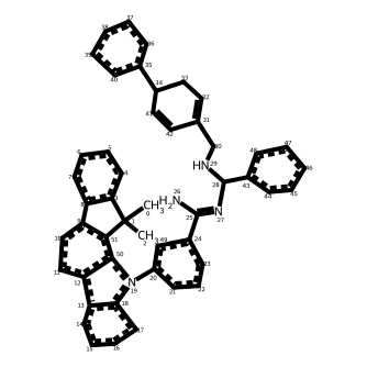 CC1(C)c2ccccc2-c2ccc3c4ccccc4n(-c4cccc(/C(N)=N/C(NCC5=CCC(c6ccccc6)C=C5)c5ccccc5)c4)c3c21